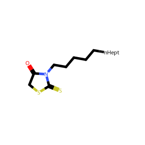 CCCCCCCCCCCCN1C(=O)CSC1=S